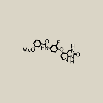 COc1cccc(C(=O)Nc2ccc(Oc3ccnc4c3CNC(=O)N4)c(F)c2)c1